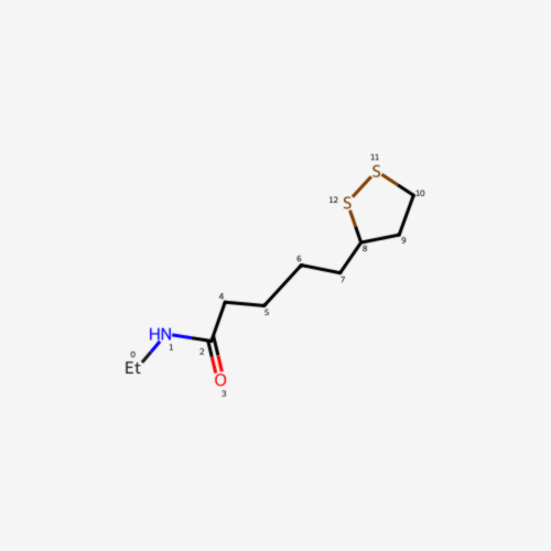 CCNC(=O)CCCCC1CCSS1